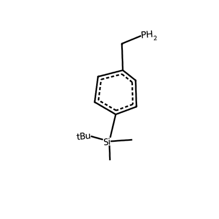 CC(C)(C)[Si](C)(C)c1ccc(CP)cc1